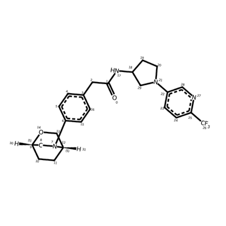 O=C(Cc1ccc(N2C[C@@H]3CC[C@H]2CO3)cc1)NC1CCN(c2ccc(C(F)(F)F)nc2)C1